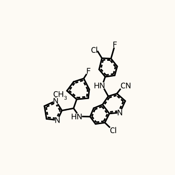 Cn1ccnc1C(Nc1cc(Cl)c2ncc(C#N)c(Nc3ccc(F)c(Cl)c3)c2c1)c1ccc(F)cc1